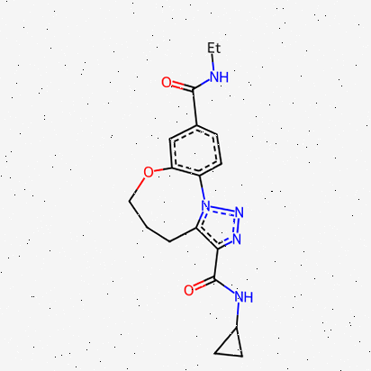 CCNC(=O)c1ccc2c(c1)OCCCc1c(C(=O)NC3CC3)nnn1-2